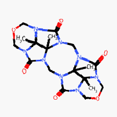 CC12N3COCN1C(=O)N1CN4C(=O)N5COCN6C(=O)N(CN(C3=O)C12C)C4(C)C65C